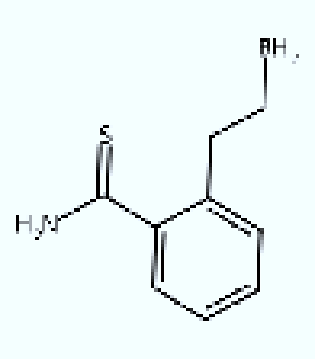 BCCc1ccccc1C(N)=S